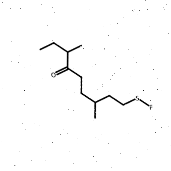 CCC(C)C(=O)CCC(C)CCSF